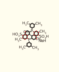 Cc1cc(C)cc(P(c2cc(C)cc(C)c2)c2ccc3c(S(=O)(=O)O)cccc3c2-c2c(P(c3cc(C)cc(C)c3)c3cc(C)cc(C)c3)ccc3c(S(=O)(=O)O)cccc23)c1.[NaH]